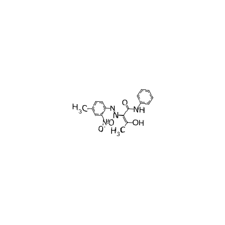 C/C(O)=C(\N=N\c1ccc(C)cc1[N+](=O)[O-])C(=O)Nc1ccccc1